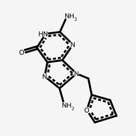 Nc1nc2c(nc(N)n2Cc2ccco2)c(=O)[nH]1